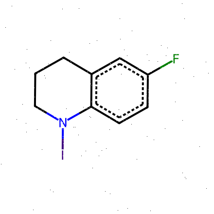 Fc1ccc2c(c1)CCCN2I